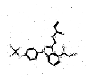 C=CC(=O)NCc1nn(-c2ccc(OC(F)(F)F)cc2)c2cccc([C@@H](O)CO)c12